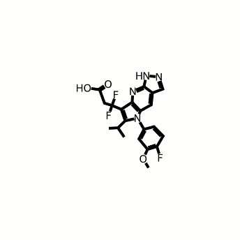 COc1cc(-n2c(C(C)C)c(C(F)(F)CC(=O)O)c3nc4[nH]ncc4cc32)ccc1F